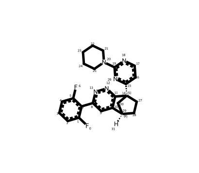 Fc1cccc(F)c1-c1cc2c(nn1)[C@@]1(c3ccnc(N4CCCCC4)n3)CC[C@@H]2C1